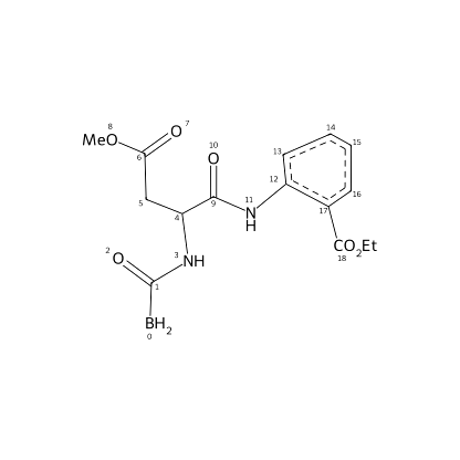 BC(=O)NC(CC(=O)OC)C(=O)Nc1ccccc1C(=O)OCC